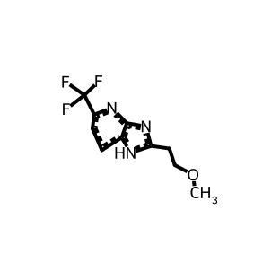 COCCc1nc2nc(C(F)(F)F)ccc2[nH]1